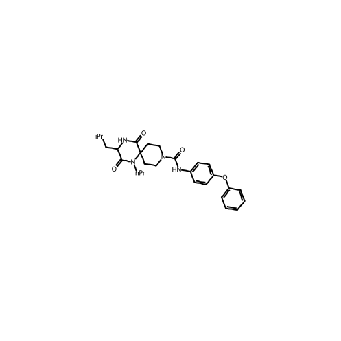 CCCN1C(=O)C(CC(C)C)NC(=O)C12CCN(C(=O)Nc1ccc(Oc3ccccc3)cc1)CC2